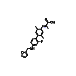 C/C(=C\c1cc(C)c(-c2ccc(NCc3ccco3)cc2F)cc1C)C(=O)O